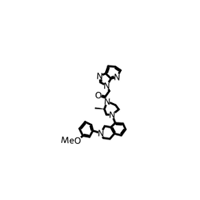 COc1cccc(N2CCc3cccc(N4CCN(C(=O)Cn5cnc6cccnc65)[C@H](C)C4)c3C2)c1